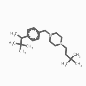 CC(c1ccc(CN2CCN(CCC(C)(C)C)CC2)cc1)C(C)(C)C